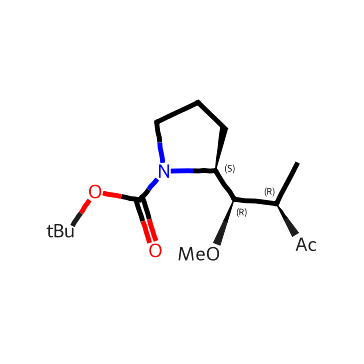 CO[C@H]([C@@H](C)C(C)=O)[C@@H]1CCCN1C(=O)OC(C)(C)C